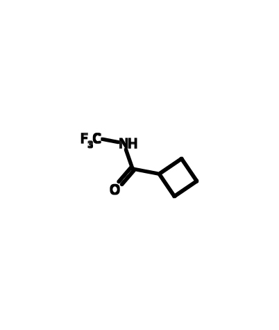 O=C(NC(F)(F)F)C1CCC1